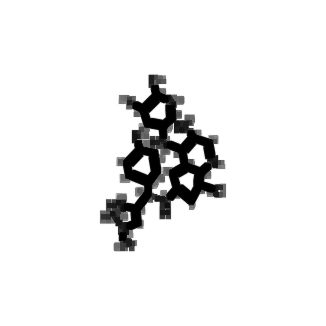 CC(C)N1C=C([C@@H](Nc2cc(Cl)c3ncc(C#N)c(Nc4cnc(F)c(F)c4)c3c2)c2ccc(F)cc2)NN1